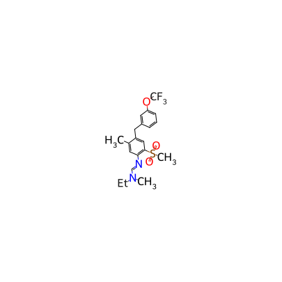 CCN(C)C=Nc1cc(C)c(Cc2cccc(OC(F)(F)F)c2)cc1S(C)(=O)=O